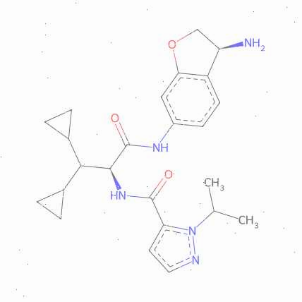 CC(C)n1nccc1C(=O)N[C@H](C(=O)Nc1ccc2c(c1)OC[C@H]2N)C(C1CC1)C1CC1